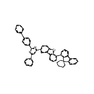 c1ccc(-c2ccc(-c3nc(-c4ccccc4)cc(-c4ccc5oc6c(-c7cccc8c7C7(CCCCC7)c7ccccc7-8)cccc6c5c4)n3)cc2)cc1